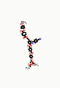 C=CC(=O)OCC(COc1ccc(OC(=O)C2CCC(C(=O)Oc3ccc(CCOC(=O)C4CCC(C(=O)Oc5ccc(OCC)cc5)CC4)c4sc(-c5ccc(C#N)cc5)nc34)CC2)cc1)OC(=O)C=C